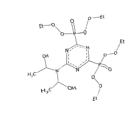 CCOOP(=O)(OOCC)c1nc(N(C(C)O)C(C)O)nc(P(=O)(OOCC)OOCC)n1